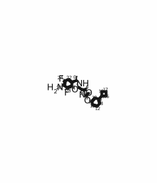 C[C@@H](NC(=O)c1coc(Oc2cccc(C3CCC3)c2)n1)c1cc(F)c(N)c(F)c1